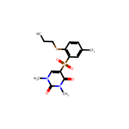 Cn1cc(S(=O)(=O)c2cc(C(F)(F)F)ccc2SCCC#N)c(=O)n(C)c1=O